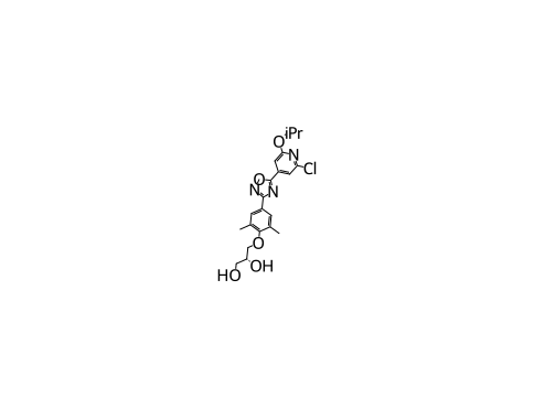 Cc1cc(-c2noc(-c3cc(Cl)nc(OC(C)C)c3)n2)cc(C)c1OC[C@H](O)CO